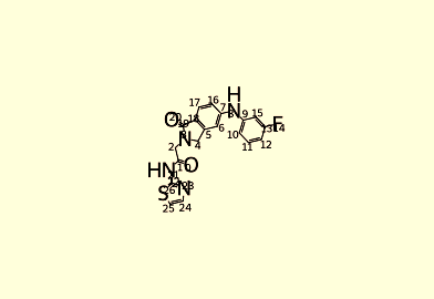 O=C(CN1Cc2cc(Nc3cccc(F)c3)ccc2C1=O)Nc1nccs1